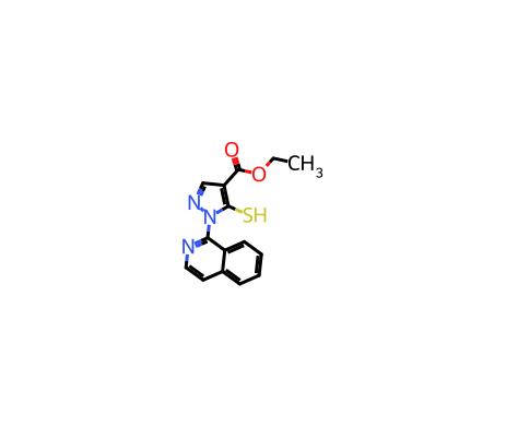 CCOC(=O)c1cnn(-c2nccc3ccccc23)c1S